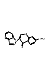 COc1ccc2c(=O)c(-n3ncc4ccccc43)coc2c1